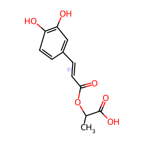 CC(OC(=O)/C=C/c1ccc(O)c(O)c1)C(=O)O